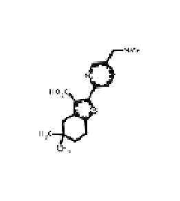 CNCc1ccc(-c2sc3c(c2C(=O)O)CC(C)(C)CC3)nc1